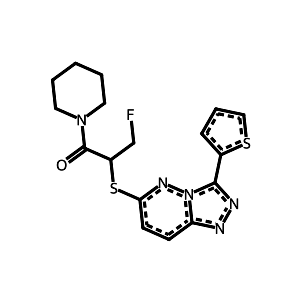 O=C(C(CF)Sc1ccc2nnc(-c3cccs3)n2n1)N1CCCCC1